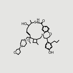 CCCc1cc(O)ccc1C1COc2ccc3cc2N(C1)CC1C(C)CC1C(CN1CCN(C2CCOC2)CC1)(OC)/C=C/CC(O)C(C)SNC3=O